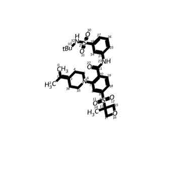 CC(C)=C1CCN(c2cc(S(=O)(=O)C3(C)COC3)ccc2C(=O)Nc2cccc(S(=O)(=O)NC(C)(C)C)c2)CC1